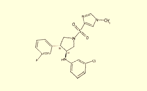 Cn1cnc(S(=O)(=O)N2C[C@@H](Nc3cccc(Cl)c3)[C@H](c3cccc(F)c3)C2)c1